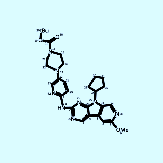 COc1cc2c3cnc(Nc4ccc(N5CCN(C(=O)OC(C)(C)C)CC5)cn4)nc3n(C3CCCC3)c2cn1